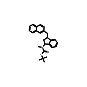 CN(C(=O)OC(C)(C)C)C1CC(Cc2ccc3ccccc3c2)c2ccccc21